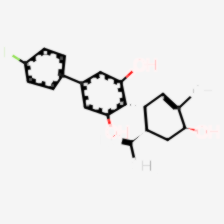 C=C(C)[C@@H]1C[C@H](O)C(C)=C[C@H]1c1c(O)cc(-c2ccc(F)cc2)cc1O